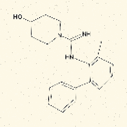 Cc1cccc(-c2ccccc2)c1NC(=N)N1CCC(O)CC1